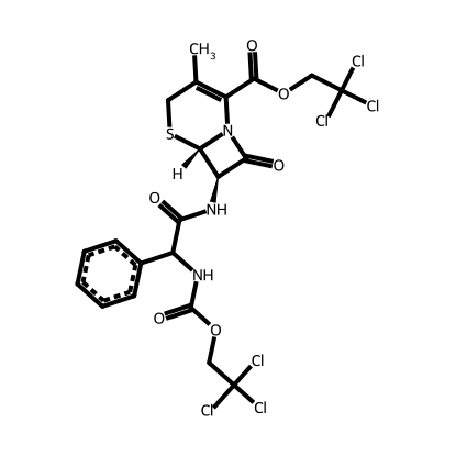 CC1=C(C(=O)OCC(Cl)(Cl)Cl)N2C(=O)[C@@H](NC(=O)C(NC(=O)OCC(Cl)(Cl)Cl)c3ccccc3)[C@@H]2SC1